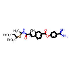 CCOC(=O)CC(SC(C)NC(=O)/C(C)=C/c1ccc(C(=O)Oc2ccc(C(=N)N)cc2)cc1)C(=O)OCC